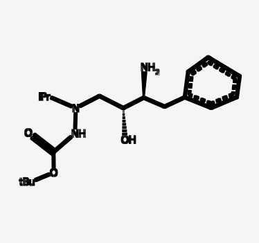 CC(C)N(C[C@@H](O)[C@@H](N)Cc1ccccc1)NC(=O)OC(C)(C)C